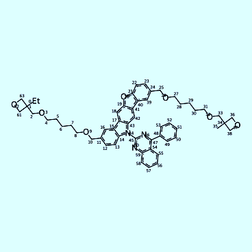 CCC1(COCCCCCOCc2ccc3c(c2)c2cc4oc5ccc(COCCCCCOCC6(C)COC6)cc5c4cc2n3-c2nc(-c3ccccc3)c3ccccc3n2)COC1